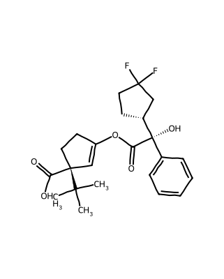 CC(C)(C)[C@]1(C(=O)O)C=C(OC(=O)[C@](O)(c2ccccc2)[C@@H]2CCC(F)(F)C2)CC1